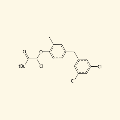 Cc1cc(Cc2cc(Cl)cc(Cl)c2)ccc1OC(Cl)C(=O)C(C)(C)C